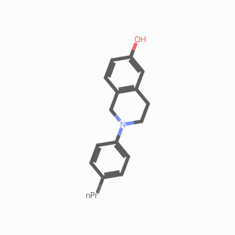 CCCc1ccc(N2CCc3cc(O)ccc3C2)cc1